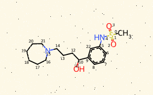 CS(=O)(=O)Nc1cccc(C(O)CCCN2CCCCCC2)c1